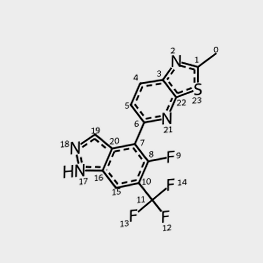 Cc1nc2ccc(-c3c(F)c(C(F)(F)F)cc4[nH]ncc34)nc2s1